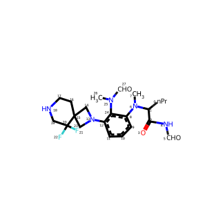 CCCC(C(=O)NC=O)N(C)c1cccc(N2CC3(CCNCC3(F)F)C2)c1N(C)C=O